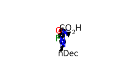 CCCCCCCCCCCCCCN1CCN(c2cc3c(cc2F)c(=O)c(C(=O)O)cn3C2CC2)CC1